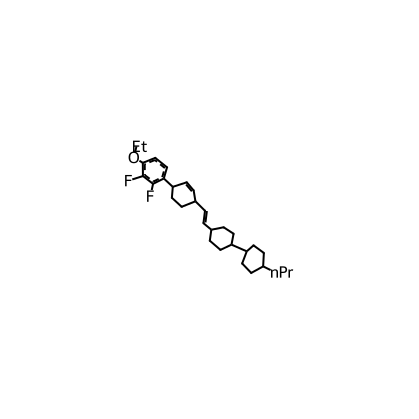 CCCC1CCC(C2CCC(/C=C/C3C=CC(c4ccc(OCC)c(F)c4F)CC3)CC2)CC1